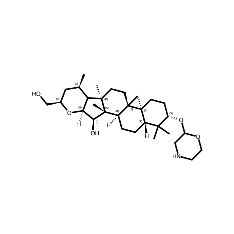 C[C@@H]1C[C@H](CO)O[C@H]2C1[C@@]1(C)CC[C@@]34C[C@@]35CC[C@H](OC3CNCCO3)C(C)(C)[C@@H]5CC[C@H]4[C@]1(C)[C@H]2O